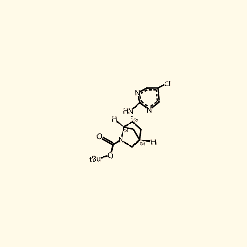 CC(C)(C)OC(=O)N1C[C@H]2C[C@@H](Nc3ncc(Cl)cn3)[C@@H]1C2